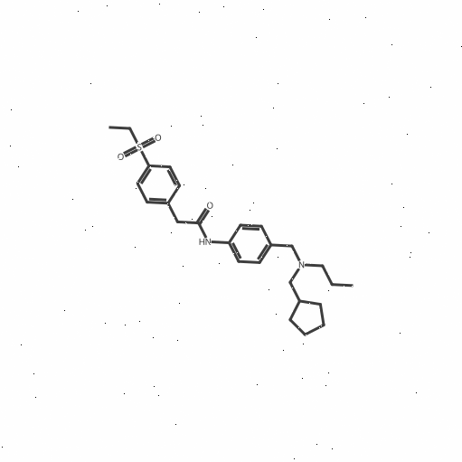 CCCN(Cc1ccc(NC(=O)Cc2ccc(S(=O)(=O)CC)cc2)cc1)CC1CCCC1